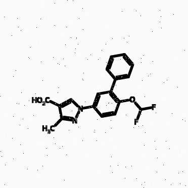 Cc1nn(-c2ccc(OC(F)F)c(-c3ccccc3)c2)cc1C(=O)O